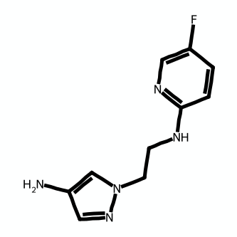 Nc1cnn(CCNc2ccc(F)cn2)c1